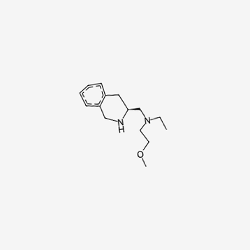 CCN(CCOC)C[C@@H]1Cc2ccccc2CN1